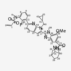 C=CS(=O)(=O)N(C)c1cccc(-c2ccc3cc(-c4nc5cc(C(=O)N6CC7CCC6C7N)cc(OC)c5n4C)n(CC4CC4)c3n2)c1F